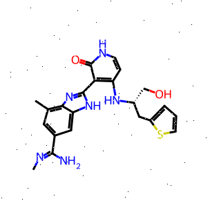 C/N=C(\N)c1cc(C)c2nc(-c3c(N[C@H](CO)Cc4cccs4)cc[nH]c3=O)[nH]c2c1